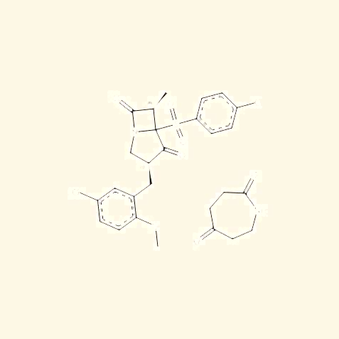 COc1ccc(Cl)cc1C[C@H]1CN2C(=O)[C@@H](C)C2(S(=O)(=O)c2ccc(Cl)cc2)C1=O.O=C1CCNC(=O)CC1